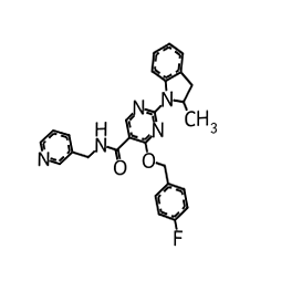 CC1Cc2ccccc2N1c1ncc(C(=O)NCc2cccnc2)c(OCc2ccc(F)cc2)n1